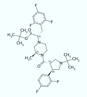 C[C@H]1CN([C@@H](Cc2c(F)cc(F)cc2F)C(=O)OC(C)(C)C)CCN1C(=O)[C@@H]1CN(C(C)(C)C)C[C@H]1c1ccc(F)cc1F